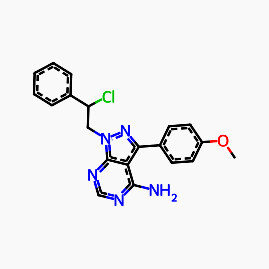 COc1ccc(-c2nn(CC(Cl)c3ccccc3)c3ncnc(N)c23)cc1